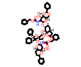 CC[C@H]1O[C@@H](O[C@@H]2[C@H]3OC(=O)C[C@@H]3C[C@H](C)[C@H]2O[C@H]2O[C@@H]3COC(c4ccccc4)O[C@H]3[C@H](O)C2NC(=O)OCc2ccccc2)[C@H](O[Si](c2ccccc2)(c2ccccc2)C(C)(C)C)[C@@H]1O[C@H]1O[C@H]2CCC(c3ccccc3)O[C@H]2[C@H](O)[C@H]1NC(=O)OCc1ccccc1